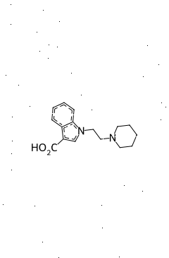 O=C(O)c1cn(CCN2CCCCC2)c2ccccc12